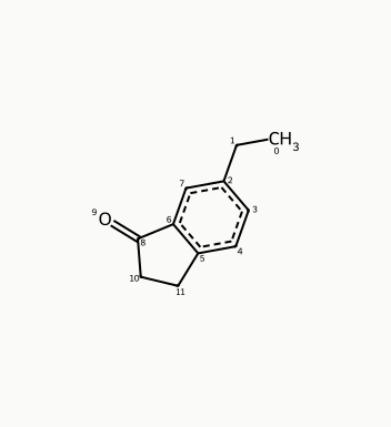 CCc1ccc2c(c1)C(=O)CC2